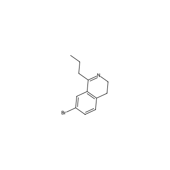 CCCC1=NCCc2ccc(Br)cc21